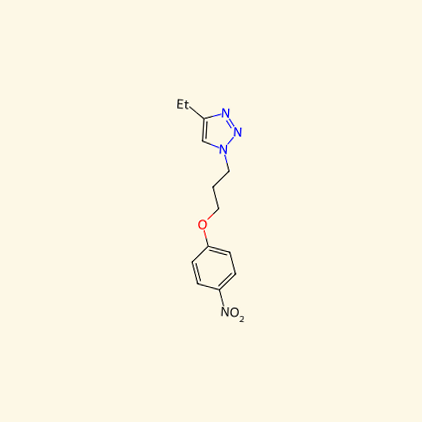 CCc1cn(CCCOc2ccc([N+](=O)[O-])cc2)nn1